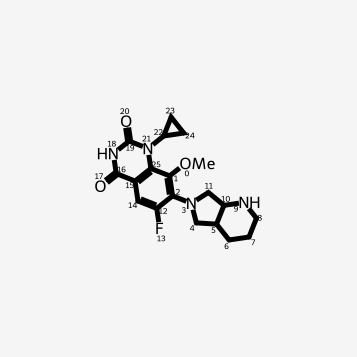 COc1c(N2CC3CCCNC3C2)c(F)cc2c(=O)[nH]c(=O)n(C3CC3)c12